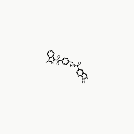 Cn1nc(S(=O)(=O)c2ccc(CNC(=O)c3cnc4[nH]ncc4c3)cc2)c2ccccc21